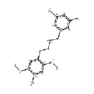 COc1cc(CCNCc2cc(C)cc(Cl)c2)c(OC)cc1Br